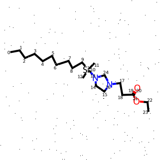 CCCCCCCCCC[Si](C)(C)N1CCN(CCC(=O)OCC)C1